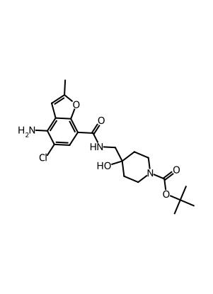 Cc1cc2c(N)c(Cl)cc(C(=O)NCC3(O)CCN(C(=O)OC(C)(C)C)CC3)c2o1